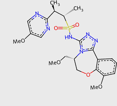 COC[C@H]1COc2c(OC)cccc2-c2nnc(NS(=O)(=O)[C@@H](C)[C@H](C)c3ncc(OC)cn3)n21